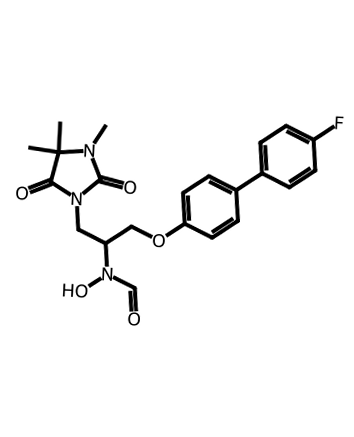 CN1C(=O)N(CC(COc2ccc(-c3ccc(F)cc3)cc2)N(O)C=O)C(=O)C1(C)C